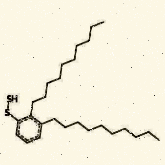 CCCCCCCCCCc1cccc(SS)c1CCCCCCCCCC